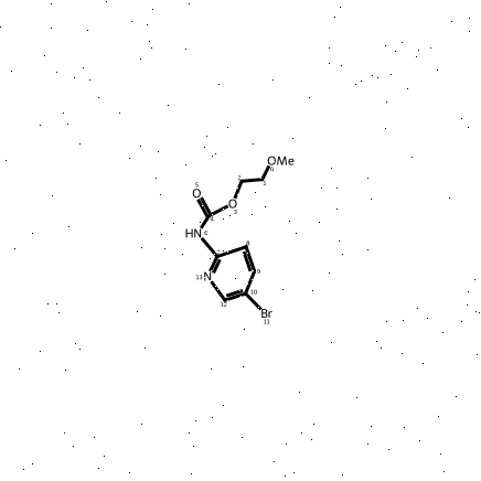 COCCOC(=O)Nc1ccc(Br)cn1